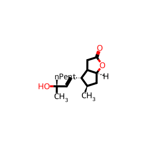 CCCCC[C@@](C)(O)/C=C/[C@@H]1C2CC(=O)O[C@H]2C[C@H]1C